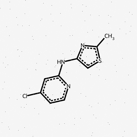 Cc1nc(Nc2cc(Cl)ccn2)cs1